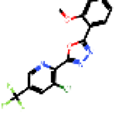 COc1ccccc1-c1nnc(-c2ncc(C(F)(F)F)cc2Cl)o1